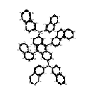 C1=Cc2ccc(N(c3ccc4ccccc4c3)c3ccc4c(-c5ccc6c(ccc7ccccc76)c5)c5cc(N(c6ccc7ccccc7c6)c6ccc7ccccc7c6)ccc5c(-c5cccc6ccccc56)c4c3)cc2CC1